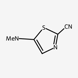 CNc1cnc(C#N)s1